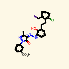 CC1=NN(c2cccc(C(=O)O)c2)C(=O)/C1=N\Nc1cccc(CCc2c(Cl)cccc2CI)c1O